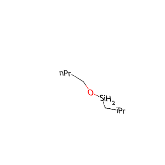 CCCCO[SiH2]CC(C)C